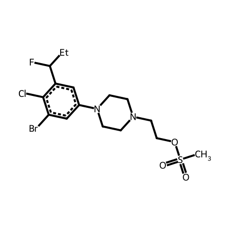 CCC(F)c1cc(N2CCN(CCOS(C)(=O)=O)CC2)cc(Br)c1Cl